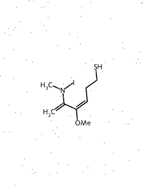 C=C(/C(=C\CCS)OC)N(C)I